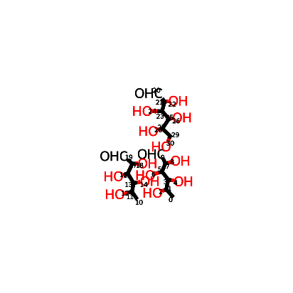 CC(O)C(O)C(O)C(O)C=O.CC(O)C(O)C(O)C(O)C=O.O=CC(O)C(O)C(O)C(O)CO